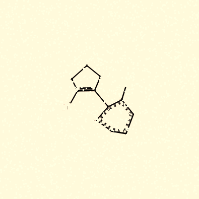 CCC1=C(c2ccccc2C)CCC1